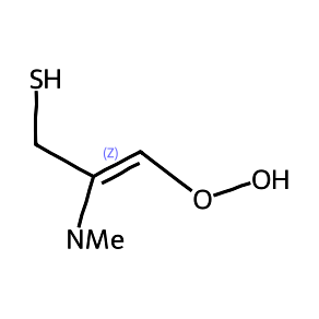 CN/C(=C\OO)CS